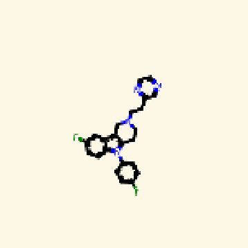 Fc1ccc(-n2c3c(c4cc(F)ccc42)CN(CCc2cnccn2)CC3)cc1